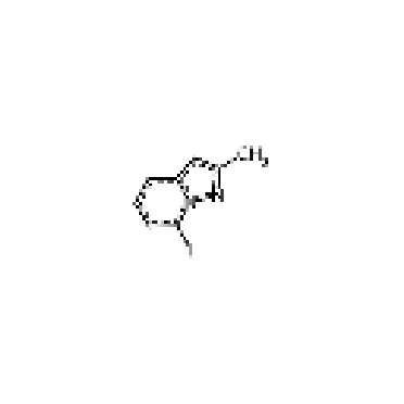 Cc1cc2cccc(I)n2n1